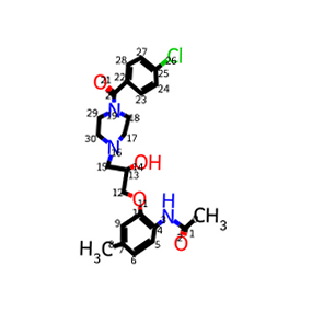 CC(=O)Nc1ccc(C)cc1OCC(O)CN1CCN(C(=O)c2ccc(Cl)cc2)CC1